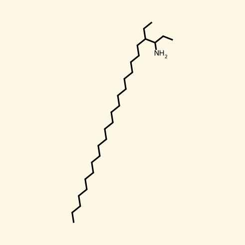 CCCCCCCCCCCCCCCCCCCCCCC(CC)C(N)CC